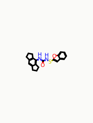 O=C(NSc1cc2ccccc2o1)Nc1c2c(cc3c1CCC3)CCC2